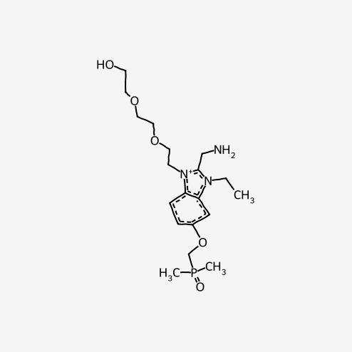 CCn1c(CN)[n+](CCOCCOCCO)c2ccc(OCP(C)(C)=O)cc21